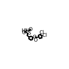 O=C1NC(=O)C(=Cc2cccc(OC(=O)c3ccc(Cl)c(Cl)c3)c2)S1